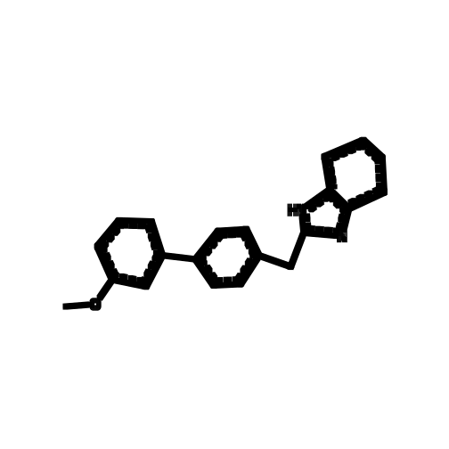 COc1cccc(-c2ccc(Cc3nc4ccccc4[nH]3)cc2)c1